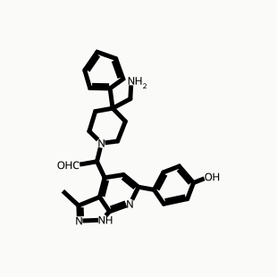 Cc1n[nH]c2nc(-c3ccc(O)cc3)cc(C(C=O)N3CCC(CN)(c4ccccc4)CC3)c12